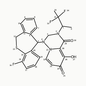 CC(N1CN(C2c3ccccc3CSc3c(F)cccc32)n2ccc(=O)c(O)c2C1=O)C(C)(F)F